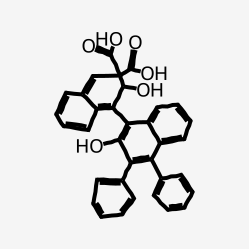 O=C(O)C1(C(=O)O)C=c2ccccc2=C(c2c(O)c(-c3ccccc3)c(-c3ccccc3)c3ccccc23)C1O